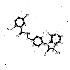 COc1ccc(F)cc1C(=O)NCc1ccc(-n2c(=O)n(C(C)C)c3ncnc(N)c32)cc1